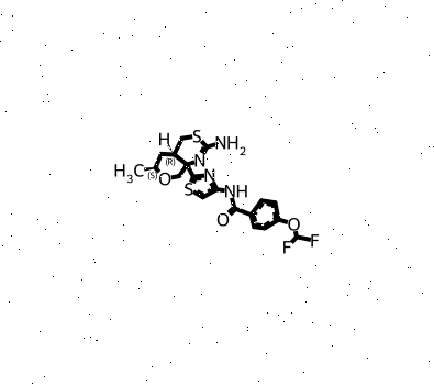 C[C@H]1C[C@H]2CSC(N)=NC2(c2nc(NC(=O)c3ccc(OC(F)F)cc3)cs2)CO1